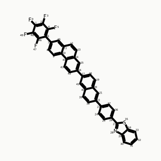 Fc1c(F)c(F)c(-c2ccc3c(ccc4cc(-c5ccc6cc(-c7ccc(-c8nc9ccccc9s8)cc7)ccc6c5)ccc43)c2)c(F)c1F